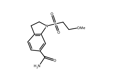 COCCS(=O)(=O)N1CCc2ccc(C(N)=O)cc21